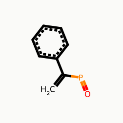 C=C(P=O)c1ccccc1